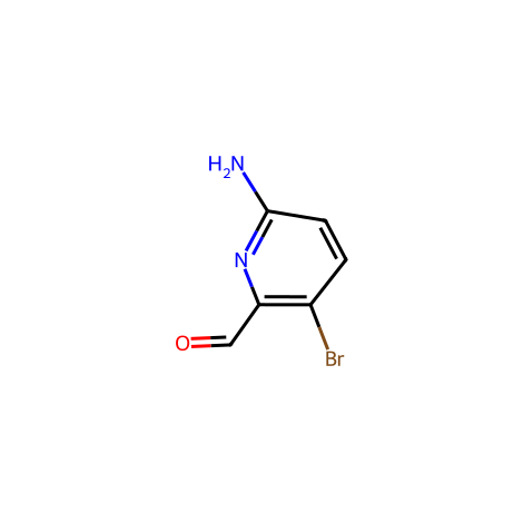 Nc1ccc(Br)c(C=O)n1